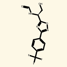 O=CN[C@@H](CO)c1nc(-c2ccc(C(F)(F)F)cc2)no1